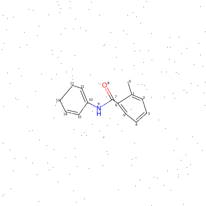 Cc1ccccc1C(=O)NC1=CCCC=C1